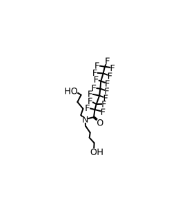 O=C(N(CCCCO)CCCCO)C(F)(F)C(F)(F)C(F)(F)C(F)(F)C(F)(F)C(F)(F)C(F)(F)F